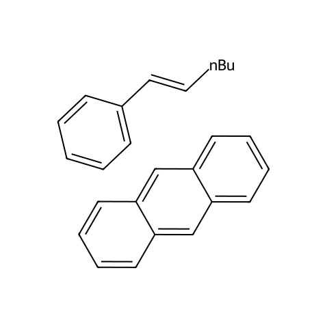 CCCCC=Cc1ccccc1.c1ccc2cc3ccccc3cc2c1